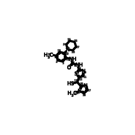 Cc1ccc(NC(=O)Nc2ncc(C(S)c3nccn3C)s2)c(N2CCCCC2)c1